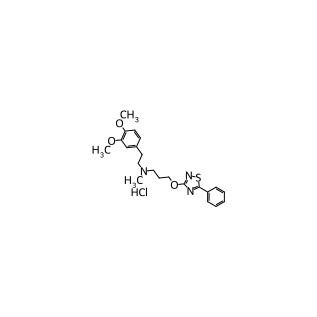 COc1ccc(CCN(C)CCCOc2nsc(-c3ccccc3)n2)cc1OC.Cl